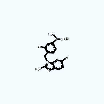 CCOC(=O)N(C)c1ccc(Cn2c(C)nc3ccc(Br)nc32)c(Cl)c1